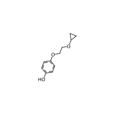 Oc1ccc(OCCOC2CC2)cc1